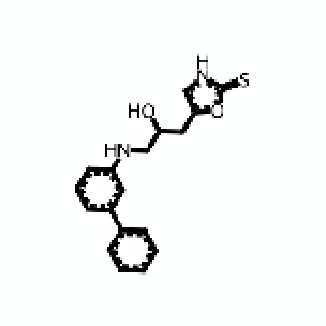 OC(CNc1cccc(-c2ccccc2)c1)Cc1c[nH]c(=S)o1